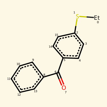 CCSc1ccc(C(=O)c2ccccc2)cc1